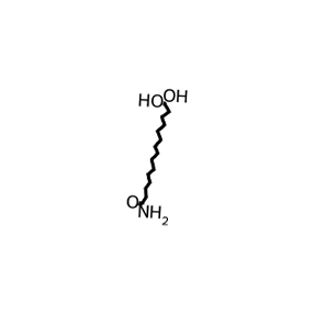 NC(=O)CCCCCCCCCCCCCC(O)O